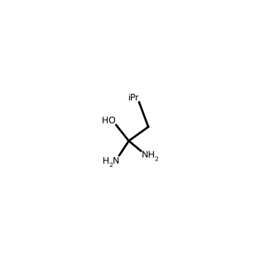 CC(C)CC(N)(N)O